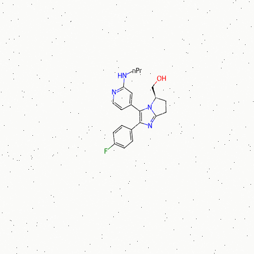 CCCNc1cc(-c2c(-c3ccc(F)cc3)nc3n2[C@@H](CO)CC3)ccn1